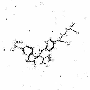 COC(=O)c1ccc2c(c1)NC(=O)C2=C(Nc1ccc(N(CCCN(C)C)C(C)=O)cc1)c1ccsc1